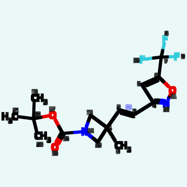 CC1(/C=C/c2cc(C(F)(F)F)on2)CN(C(=O)OC(C)(C)C)C1